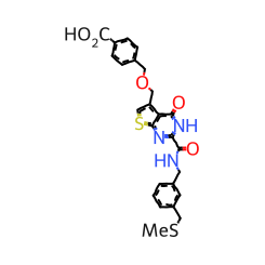 CSCc1cccc(CNC(=O)c2nc3scc(COCc4ccc(C(=O)O)cc4)c3c(=O)[nH]2)c1